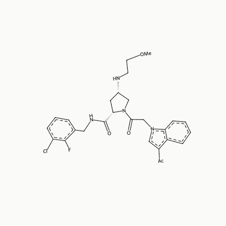 COCCN[C@H]1C[C@@H](C(=O)NCc2cccc(Cl)c2F)N(C(=O)Cn2cc(C(C)=O)c3ccccc32)C1